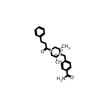 C[C@@H]1CN(C(=O)CCc2ccccc2)C[C@H](C)N1Cc1ccc(C(N)=O)cc1